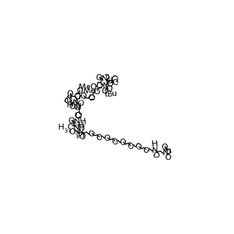 COc1cc2c(cc1OCc1cccc(COc3cc4c(cc3OC)C(=O)N3CCC[C@H]3[C@H](OC3CCCCO3)N4C(=O)OC(C)(C)C)c1)N(C(=O)OCc1ccc(NC(=O)[C@H](C)NC(=O)[C@@H](NC(=O)CCOCCOCCOCCOCCOCCOCCOCCOCCNC(=O)CCN3C(=O)C=CC3=O)C(C)C)cc1)[C@@H](O)[C@@H]1CCCN1C2=O